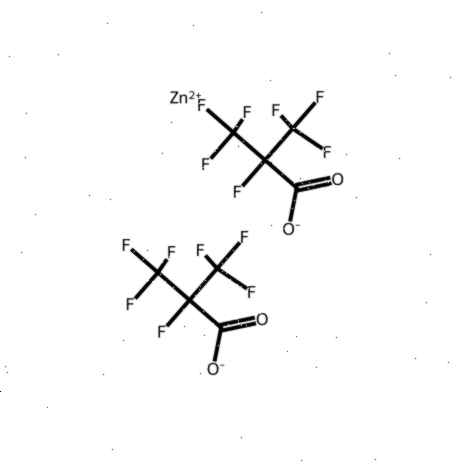 O=C([O-])C(F)(C(F)(F)F)C(F)(F)F.O=C([O-])C(F)(C(F)(F)F)C(F)(F)F.[Zn+2]